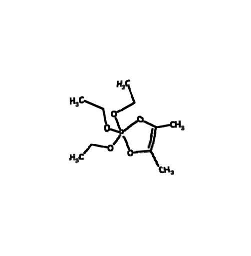 CCOP1(OCC)(OCC)OC(C)=C(C)O1